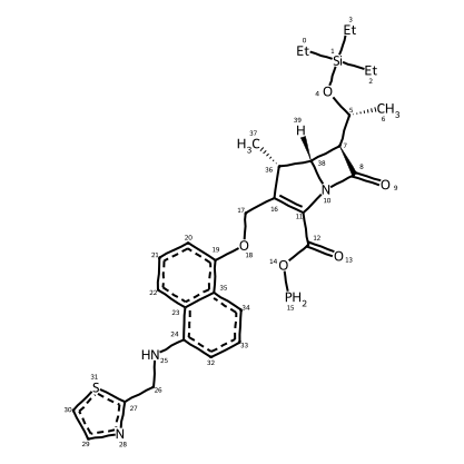 CC[Si](CC)(CC)O[C@H](C)[C@H]1C(=O)N2C(C(=O)OP)=C(COc3cccc4c(NCc5nccs5)cccc34)[C@H](C)[C@H]12